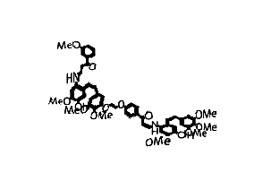 COc1cccc(C(=O)CCNc2cc(OC)c(O)cc2/C=C\c2cc(OC)c(OC)c(OCCOc3ccc(C(=O)/C=C\Nc4cc(OC)c(O)cc4/C=C\c4cc(OC)c(OC)c(OC)c4)cc3)c2)c1